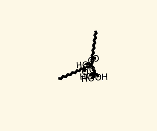 CCCCCCCCCCCC(=O)OCC(CO)(COCC(CO)(CO)CO)COC(=O)CCCCCCCCCCC